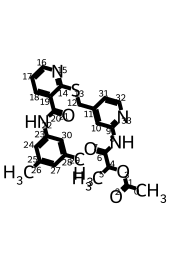 CC(=O)OC(C)C(=O)Nc1cc(CSc2ncccc2C(=O)Nc2cc(C)cc(C)c2)ccn1